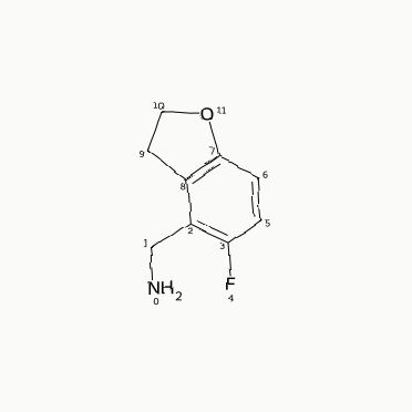 NCc1c(F)ccc2c1CCO2